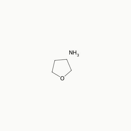 C1CCOC1.N